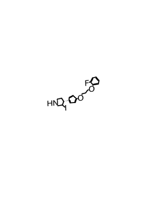 Fc1ccccc1OCCCOc1ccc([C@H]2CCNCC2I)cc1